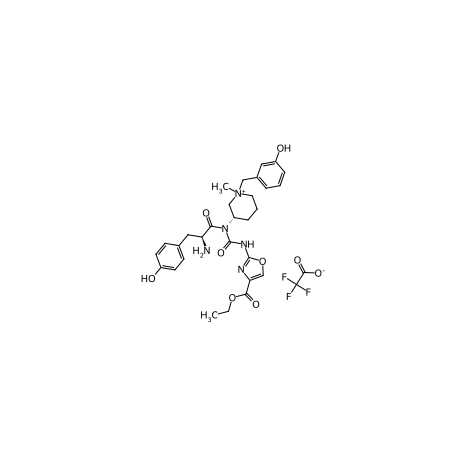 CCOC(=O)c1coc(NC(=O)N(C(=O)[C@@H](N)Cc2ccc(O)cc2)[C@H]2CCC[N+](C)(Cc3cccc(O)c3)C2)n1.O=C([O-])C(F)(F)F